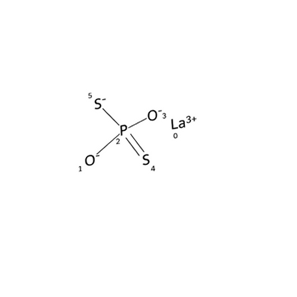 [La+3].[O-]P([O-])(=S)[S-]